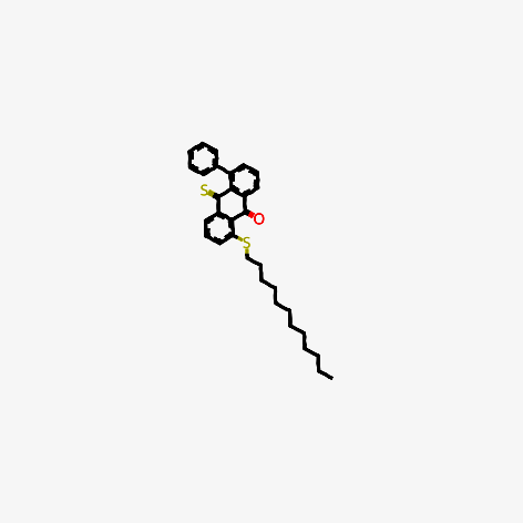 CCCCCCCCCCCCSc1cccc2c1C(=O)c1cccc(-c3ccccc3)c1C2=S